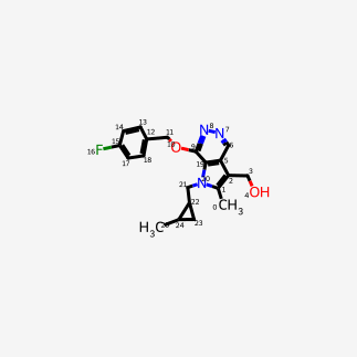 Cc1c(CO)c2cnnc(OCc3ccc(F)cc3)c2n1CC1CC1C